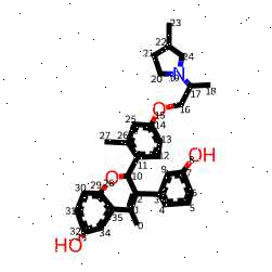 CC1=C(c2cccc(O)c2)C(c2ccc(OCC(C)N3CCC(C)C3)cc2C)Oc2ccc(O)cc21